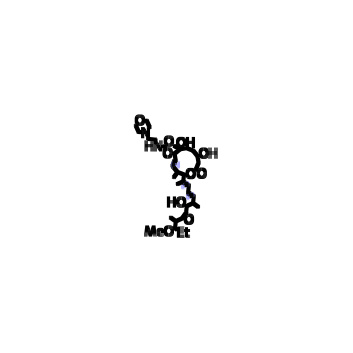 CCC(OC)C(C)C1OC1C(O)C(C)/C=C/C=C(\C)C1OC(=O)CC(O)CCC(C)(O)C(OC(=O)NCCN2CCOCC2)/C=C/C1C